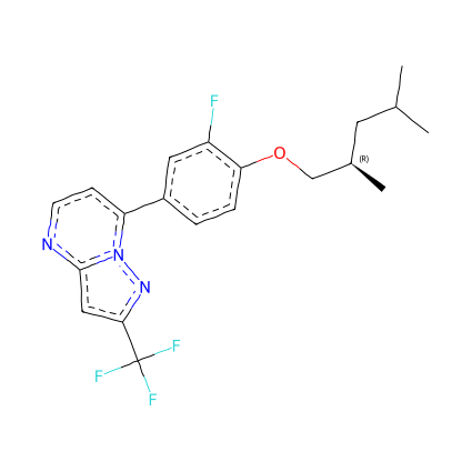 CC(C)C[C@@H](C)COc1ccc(-c2ccnc3cc(C(F)(F)F)nn23)cc1F